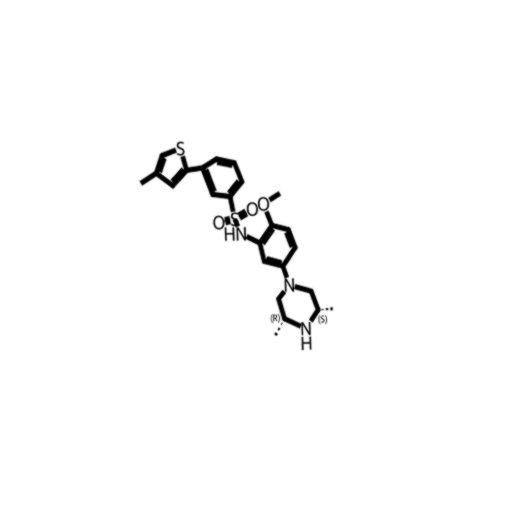 COc1ccc(N2C[C@@H](C)N[C@@H](C)C2)cc1NS(=O)(=O)c1cccc(-c2cc(C)cs2)c1